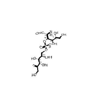 N[C@@H](C=O)[C@@H](OP(=O)(O)OC[C@@H](O)[C@@H](O)[C@H](O)C(=O)CO)[C@H](O)[C@H](O)CO